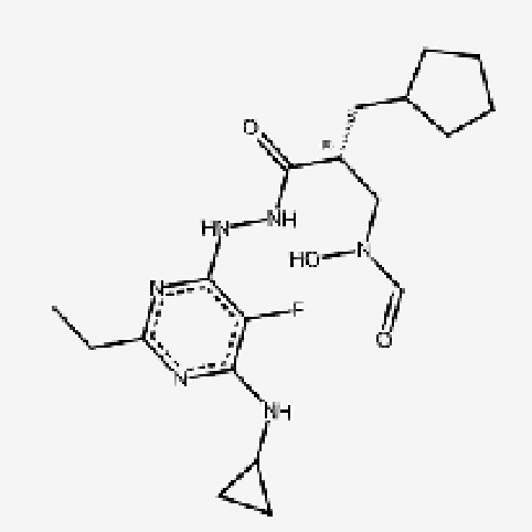 CCc1nc(NNC(=O)[C@H](CC2CCCC2)CN(O)C=O)c(F)c(NC2CC2)n1